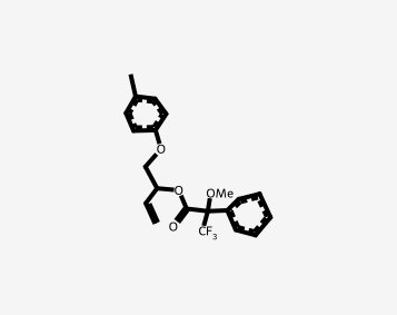 C=CC(COc1ccc(C)cc1)OC(=O)C(OC)(c1ccccc1)C(F)(F)F